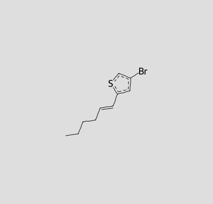 CCCCC=Cc1cc(Br)cs1